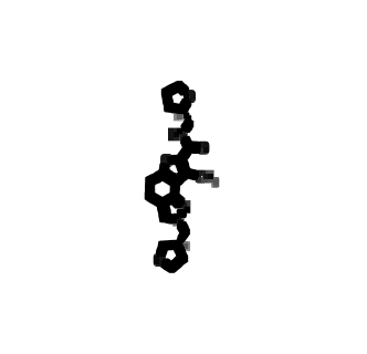 Cc1c(C(=O)NC[C@@H]2CCCO2)oc2c1-c1nn(C[C@H]3CCOC3)cc1CC2